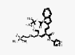 CC(C)(C)OC(=O)n1c(/C=C/C(=C\N(C=O)COCC[Si](C)(C)C)C(=O)Nc2cn[nH]c2)cc2ccccc21